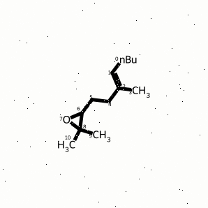 CCCCC=C(C)CCC1OC1(C)C